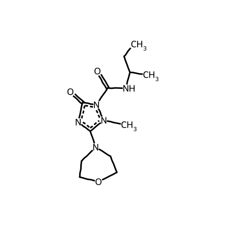 CCC(C)NC(=O)n1c(=O)nc(N2CCOCC2)n1C